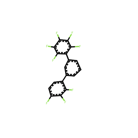 Fc1ccc(-c2cccc(-c3c(F)c(F)c(F)c(F)c3F)c2)c(F)c1F